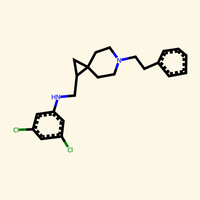 Clc1cc(Cl)cc(NCC2CC23CCN(CCc2ccccc2)CC3)c1